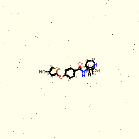 C[C@H]1[C@H](NC(=O)c2ccc(Oc3cc(C#N)cs3)cc2)C2CCN1CC2